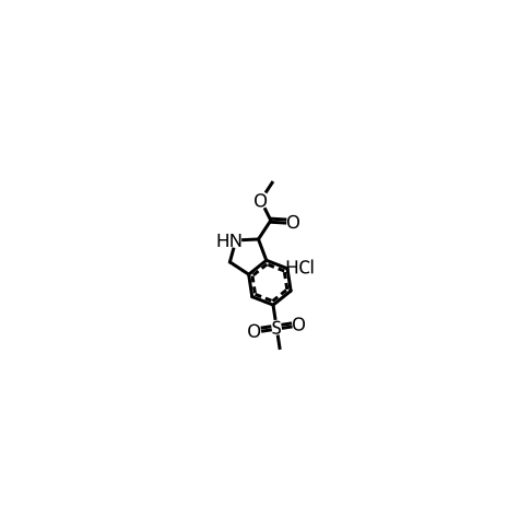 COC(=O)C1NCc2cc(S(C)(=O)=O)ccc21.Cl